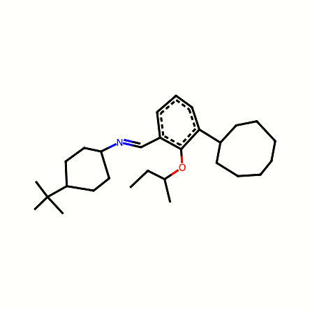 CCC(C)Oc1c(/C=N/C2CCC(C(C)(C)C)CC2)cccc1C1CCCCCCC1